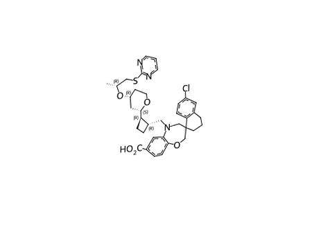 C[C@H](CSc1ncccn1)O[C@@H]1CCO[C@H]([C@@H]2CC[C@H]2CN2CC3(CCCc4cc(Cl)ccc43)COc3ccc(C(=O)O)cc32)C1